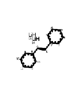 C(=Cc1ccccc1)c1ccccc1.[LiH].[LiH]